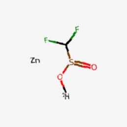 [2H]OS(=O)C(F)F.[Zn]